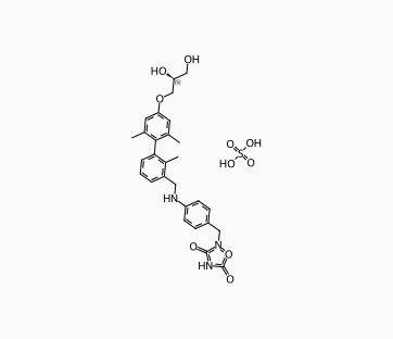 Cc1cc(OC[C@@H](O)CO)cc(C)c1-c1cccc(CNc2ccc(Cn3oc(=O)[nH]c3=O)cc2)c1C.O=S(=O)(O)O